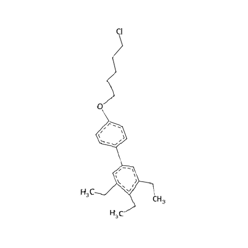 CCc1cc(-c2ccc(OCCCCCCl)cc2)cc(CC)c1CC